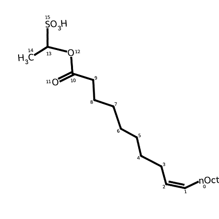 CCCCCCCC/C=C\CCCCCCCC(=O)OC(C)S(=O)(=O)O